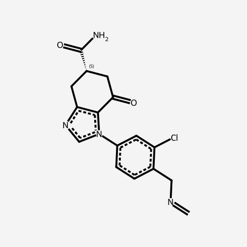 C=NCc1ccc(-n2cnc3c2C(=O)C[C@@H](C(N)=O)C3)cc1Cl